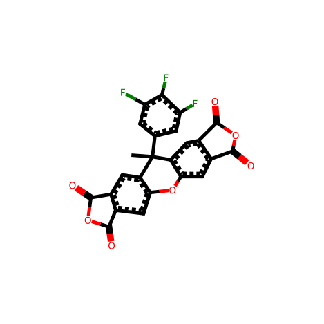 CC1(c2cc(F)c(F)c(F)c2)c2cc3c(cc2Oc2cc4c(cc21)C(=O)OC4=O)C(=O)OC3=O